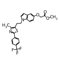 COC(=O)COc1ccc2c(ccn2CCc2sc(-c3ccc(C(F)(F)F)cc3)nc2C)c1